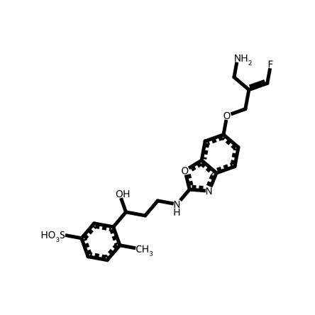 Cc1ccc(S(=O)(=O)O)cc1C(O)CCNc1nc2ccc(OCC(=CF)CN)cc2o1